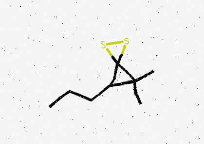 CCCC1C(C)(C)C12SS2